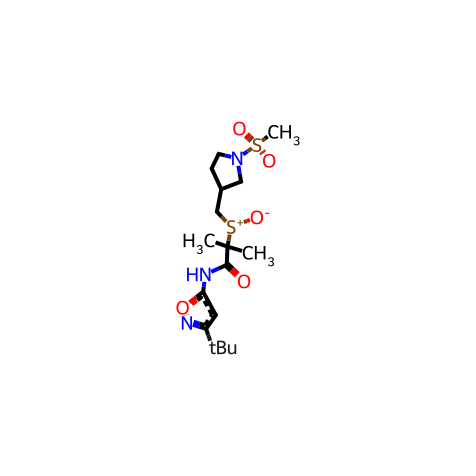 CC(C)(C)c1cc(NC(=O)C(C)(C)[S+]([O-])CC2CCN(S(C)(=O)=O)C2)on1